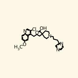 COc1ccc2ncc(Cl)c(CCCC3(C(=O)O)CCN(CCCc4cnccn4)CC3)c2c1